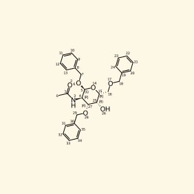 CC(=O)N[C@H]1[C@@H](OCc2ccccc2)O[C@H](COCc2ccccc2)[C@H](O)[C@@H]1OCc1ccccc1